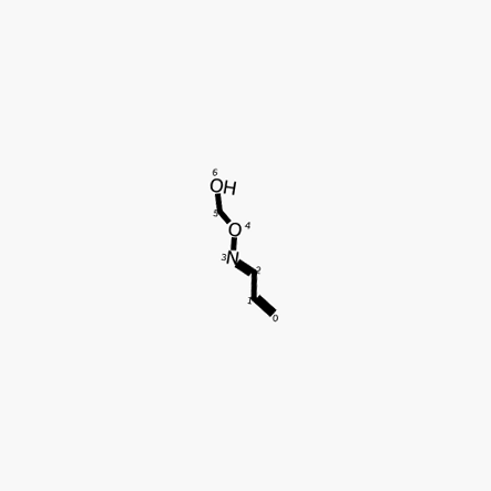 C=CC=NOCO